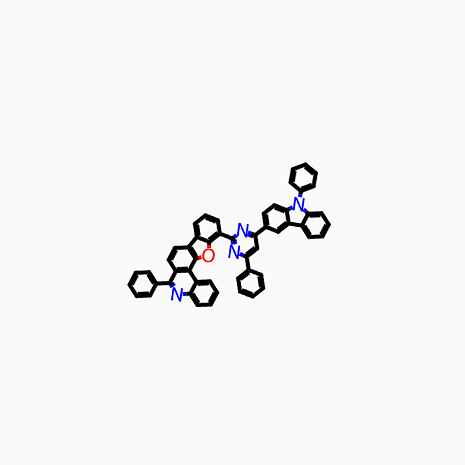 c1ccc(-c2cc(-c3ccc4c(c3)c3ccccc3n4-c3ccccc3)nc(-c3cccc4c3oc3c4ccc4c(-c5ccccc5)nc5ccccc5c43)n2)cc1